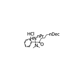 CCCCCCCCCCCCCC(=O)C(NCCC)(c1ccccc1)N(C)C.Cl